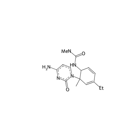 CCC1=CC(C)(n2ccc(N)nc2=O)C(NC(=O)NC)C=C1